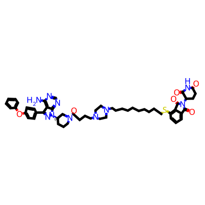 Nc1ncnc2c1c(-c1ccc(Oc3ccccc3)cc1)nn2[C@@H]1CCCN(C(=O)CCCN2CCN(CCCCCCCCCCSc3cccc4c3C(=O)N(C3CCC(=O)NC3=O)C4=O)CC2)C1